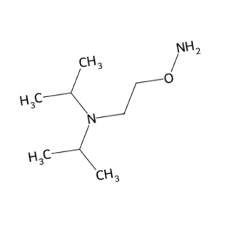 CC(C)N(CCON)C(C)C